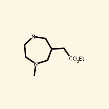 CCOC(=O)CC1C[N]CCN(C)C1